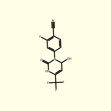 N#Cc1ccc(N2C(=O)NC(C(F)(F)F)=CC2O)cc1F